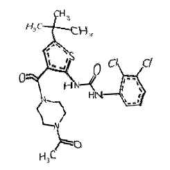 CC(=O)N1CCN(C(=O)c2cc(C(C)(C)C)sc2NC(=O)Nc2cccc(Cl)c2Cl)CC1